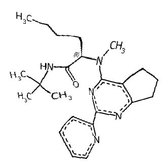 CCCC[C@H](C(=O)NC(C)(C)C)N(C)c1nc(-c2ccccn2)nc2c1CCC2